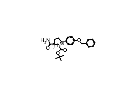 CC(C)(C)OC(=O)N1[C@H](c2ccc(OCc3ccccc3)cc2)CC[C@]1(C)C(N)=O